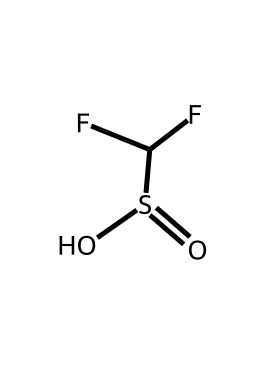 O=S(O)C(F)F